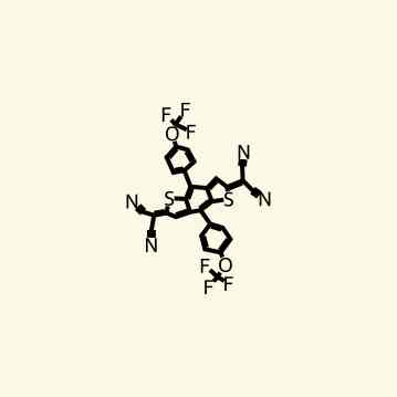 N#CC(C#N)=c1cc2c(-c3ccc(OC(F)(F)F)cc3)c3sc(=C(C#N)C#N)cc3c(-c3ccc(OC(F)(F)F)cc3)c2s1